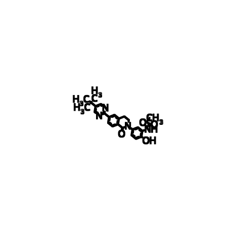 CC(C)(C)c1cnc(-c2ccc3c(c2)CCN(c2ccc(O)c(NS(C)(=O)=O)c2)C3=O)nc1